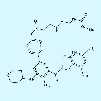 CCN(CCNCCNC(=O)OC(C)(C)C)Cc1ccc(-c2cc(NC3CCOCC3)c(C)c(C(=O)NCc3c(C)cc(C)[nH]c3=O)c2)cc1